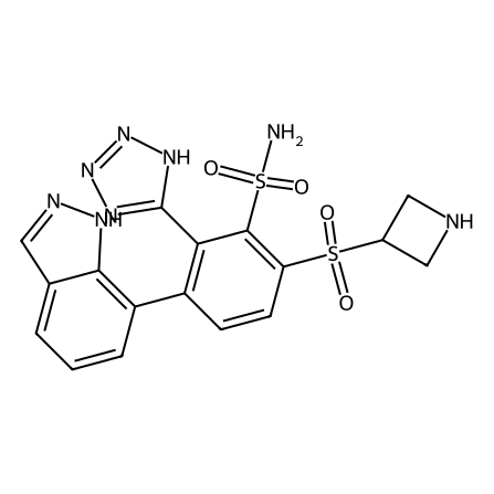 NS(=O)(=O)c1c(S(=O)(=O)C2CNC2)ccc(-c2cccc3cn[nH]c23)c1-c1nnn[nH]1